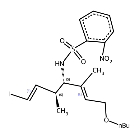 CCCCOC/C=C(\C)[C@@H](NS(=O)(=O)c1ccccc1[N+](=O)[O-])[C@@H](C)/C=C/I